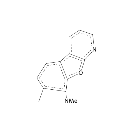 CNc1c(C)ccc2c1oc1ncccc12